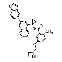 Cc1ccc(OC[C@@H]2CCN2)cc1C(=O)NC1(c2cc(-c3ccc4nccn4c3)cc3ncccc23)CC1